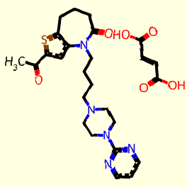 CC(=O)c1cc2c(s1)CCCC(=O)N2CCCCN1CCN(c2ncccn2)CC1.O=C(O)C=CC(=O)O